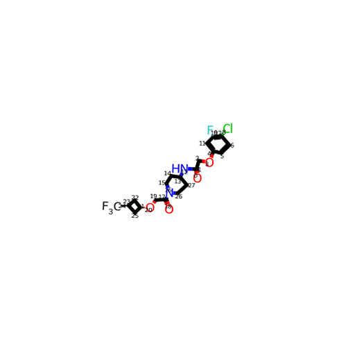 O=C(COc1ccc(Cl)c(F)c1)NC1CCN(C(=O)CO[C@H]2C[C@H](C(F)(F)F)C2)CC1